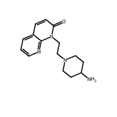 NC1CCN(CCn2c(=O)ccc3cccnc32)CC1